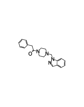 O=C(Cc1ccccc1)N1CCN(Cn2ncc3ccccc32)CC1